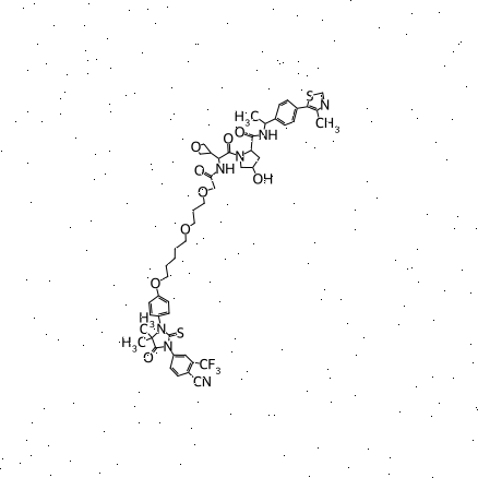 Cc1ncsc1-c1ccc(C(C)NC(=O)C2CC(O)CN2C(=O)C(NC(=O)COCCCOCCCCCOc2ccc(N3C(=S)N(c4ccc(C#N)c(C(F)(F)F)c4)C(=O)C3(C)C)cc2)C2COC2)cc1